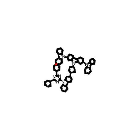 c1ccc(-c2nc(-c3ccccc3)nc(-n3c4ccccc4c4ccc(-c5ccc(-n6c7cc(-n8c9ccccc9c9ccccc98)ccc7c7ccc(-n8c9ccccc9c9ccccc98)cc76)cc5)cc43)n2)cc1